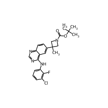 CC(C)(C)OC(=O)N1CC(C)(c2ccc3ncnc(Nc4cccc(Cl)c4F)c3c2)C1